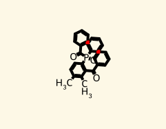 Cc1ccc(P(=O)(C(=O)c2ccccc2)c2ccccc2)c(C(=O)c2ccccc2)c1C